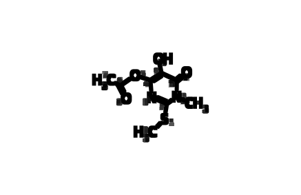 CSc1nc(OC(C)=O)c(O)c(=O)n1C